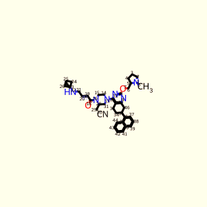 CN1CCCC1COc1nc2c(c(N3CCN(C(=O)/C=C/CNC45CC(C4)C5)C(CC#N)C3)n1)CCC(c1cccc3ccccc13)C2